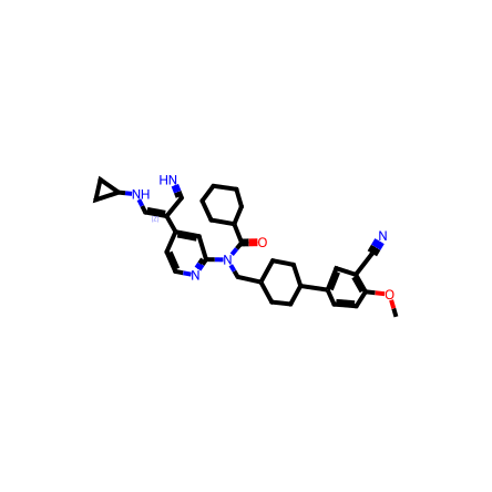 COc1ccc(C2CCC(CN(C(=O)C3CCCCC3)c3cc(/C(C=N)=C/NC4CC4)ccn3)CC2)cc1C#N